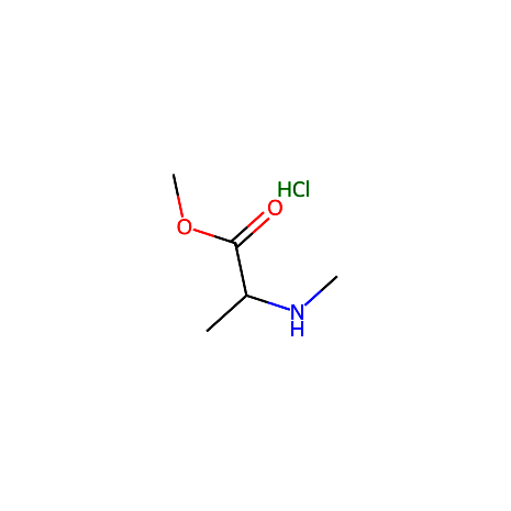 CNC(C)C(=O)OC.Cl